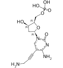 NCC#Cc1cn([C@H]2C[C@@H](O)[C@@H](COP(=O)(O)O)O2)c(=O)nc1N